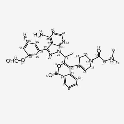 CC(c1oc(=O)c2ccccc2c1C1=CCN(C(=O)CN(C)C)CC1)n1nc(-c2cc(F)cc(OC=O)c2)c2c(N)ncnc21